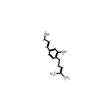 CC(C)=CCCc1ccc(/C=C/CO)cc1O